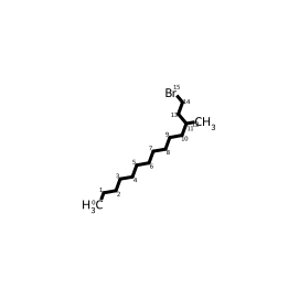 CCCCCCCCCCCC(C)CCBr